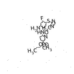 CCCOP(C)(=O)c1ccc(NC(=O)c2cc(Sc3nccn3C)c(F)cc2N)nc1